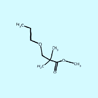 CCCOCC(C)(C)C(=O)OC